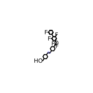 OCC1CCC(/C=C/C2CCC(C(F)(F)Oc3cc(F)c(-c4cccc(F)c4)c(F)c3)CC2)CC1